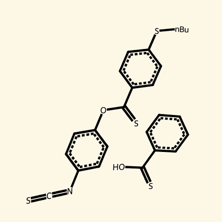 CCCCSc1ccc(C(=S)Oc2ccc(N=C=S)cc2)cc1.OC(=S)c1ccccc1